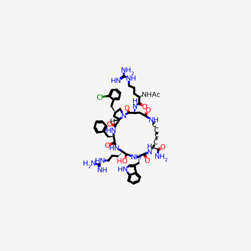 CC(=O)N[C@@H](CCCNC(=N)N)C(=O)N[C@H]1CC(=O)NCCCC[C@@H](C(N)=O)NC(=O)[C@H](Cc2c[nH]c3ccccc23)NC(O)[C@H](CCCNC(=N)N)NC(=O)[C@@H](Cc2ccccc2)NC(=O)[C@@H]2C[C@@H](Cc3ccccc3Cl)CN2C1=O